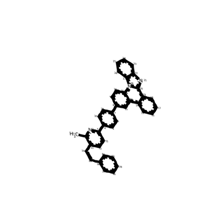 Cc1nc(-c2ccc(-c3ccc4c(c3)c3ccccc3c3nc5ccccc5n43)cc2)ccc1/C=C\c1ccccc1